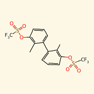 Cc1c(OS(=O)(=O)C(F)(F)F)cccc1-c1cccc(OS(=O)(=O)C(F)(F)F)c1C